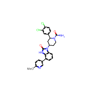 COc1ccc(-c2cccc3c2[nH]c(=O)n3C2CCN(C(N)=O)C(c3ccc(Cl)c(Cl)c3)C2)cn1